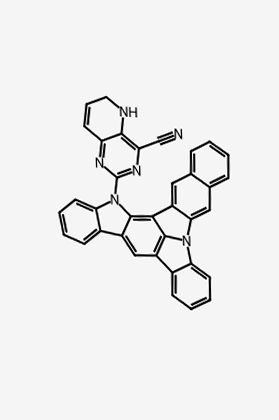 N#Cc1nc(-n2c3ccccc3c3cc4c5ccccc5n5c6cc7ccccc7cc6c(c32)c45)nc2c1NCC=C2